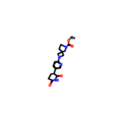 CC(C)(C)OC(=O)N1CCC2(C1)CN(c1ccc(C3CCC(=O)NC3=O)cn1)C2